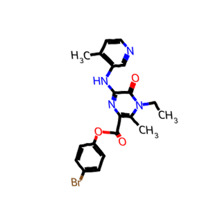 CCn1c(C)c(C(=O)Oc2ccc(Br)cc2)nc(Nc2cnccc2C)c1=O